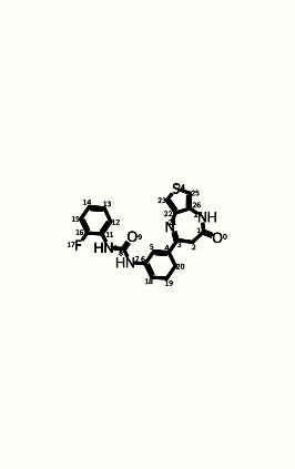 O=C1CC(C2=CC(NC(=O)Nc3ccccc3F)=CCC2)=Nc2cscc2N1